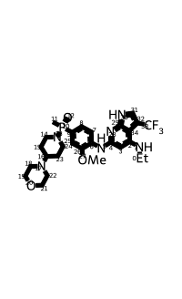 CCNc1cc(Nc2ccc(P(C)(=O)N3CCC(N4CCOCC4)CC3)cc2OC)nc2[nH]cc(C(F)(F)F)c12